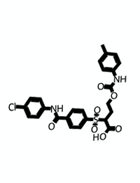 Cc1ccc(NC(=O)OCCC(C(=O)O)S(=O)(=O)c2ccc(C(=O)Nc3ccc(Cl)cc3)cc2)cc1